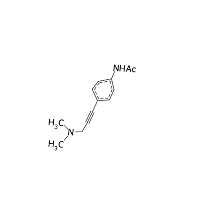 CC(=O)Nc1ccc(C#CCN(C)C)cc1